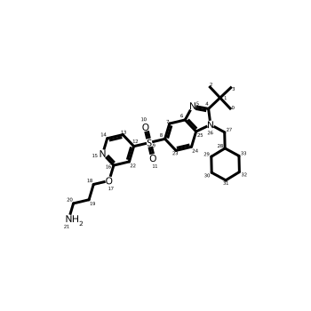 CC(C)(C)c1nc2cc(S(=O)(=O)c3ccnc(OCCCN)c3)ccc2n1CC1CCCCC1